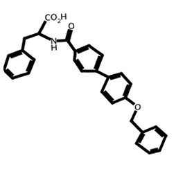 O=C(NC(Cc1ccccc1)C(=O)O)c1ccc(-c2ccc(OCc3ccccc3)cc2)cc1